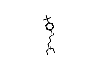 CCN(CC)CCCOc1ccc(C(C)(C)C)cc1